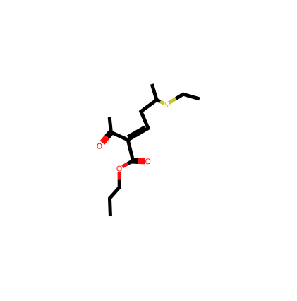 CCCOC(=O)C(=CCC(C)SCC)C(C)=O